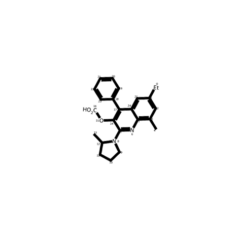 CCc1cc(C)c2nc(N3CCCC3C)c(OC(=O)O)c(-c3ccccc3)c2c1